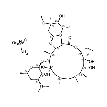 CC[C@H]1OC(=O)[C@H](C)[C@@H](O[C@H]2C[C@@](C)(OC)[C@@H](O)[C@H](C)O2)[C@H](C)[C@@H](O[C@@H]2O[C@H](C)C[C@H](N(C)C)[C@H]2O)[C@](C)(O)C[C@@H](C)CN(C)[C@H](C)[C@@H](O)[C@]1(C)O.N[SH](=O)=O